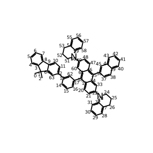 CC1(C)c2ccccc2-c2ccc(-c3cccc(-c4c5ccc(N6CCCc7ccccc76)cc5c(-c5ccc6ccccc6c5)c5ccc(N6CCCc7ccccc76)cc45)c3)cc21